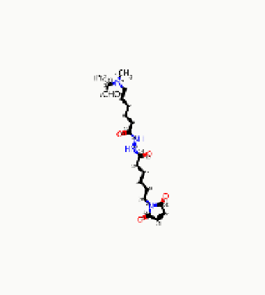 CC(C)[C@@H]([C]=O)N(C)CCCCCC(=O)NNC(=O)CCCCCN1C(=O)C=CC1=O